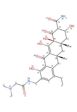 CCc1cc(CNC(=O)CN(C)C)c(O)c2c1C[C@H]1C[C@H]3CC(O)C(C(N)=O)C(=O)[C@@]3(O)C(O)=C1C2=O